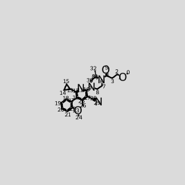 COCCC(=O)N1CCN(c2nc(C3CC3)c(-c3ccccc3OC)c(C)c2C#N)C[C@H]1C